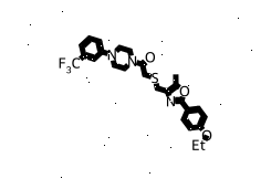 CCOc1ccc(-c2nc(CSCC(=O)N3CCN(c4cccc(C(F)(F)F)c4)CC3)c(C)o2)cc1